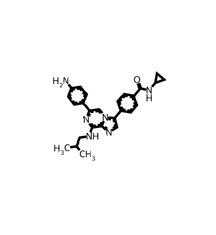 CC(C)CNc1nc(-c2ccc(N)cc2)cn2c(-c3ccc(C(=O)NC4CC4)cc3)cnc12